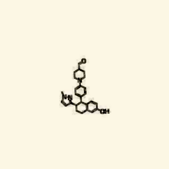 Cn1ccc([C@@H]2CCc3cc(O)ccc3[C@@H]2c2ccc(N3CCC(C=O)CC3)cc2)n1